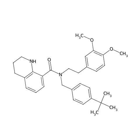 COc1ccc(CCN(Cc2ccc(C(C)(C)C)cc2)C(=O)c2cccc3c2NCCC3)cc1OC